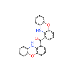 O=C(c1cccc2c1Nc1ccccc1O2)c1cccc2c1Nc1ccccc1O2